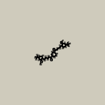 COc1cc(C(C)(C)C)ccc1/C=C/C=C/C(=O)N1CCCN(C(=O)/C=C/C=C/c2ccc(C(C)(C)C)cc2OC)CC1